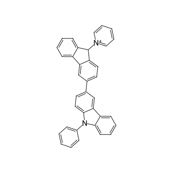 c1ccc(-n2c3ccccc3c3cc(-c4ccc5c(c4)-c4ccccc4C5[n+]4ccccc4)ccc32)cc1